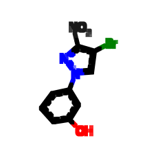 O=[N+]([O-])c1nn(-c2cccc(O)c2)cc1Br